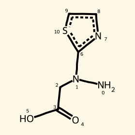 NN(CC(=O)O)c1nccs1